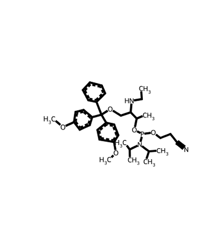 CCNC(COC(c1ccccc1)(c1ccc(OC)cc1)c1ccc(OC)cc1)C(C)OP(OCCC#N)N(C(C)C)C(C)C